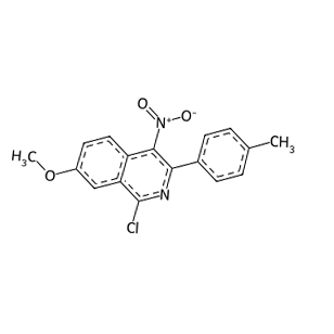 COc1ccc2c([N+](=O)[O-])c(-c3ccc(C)cc3)nc(Cl)c2c1